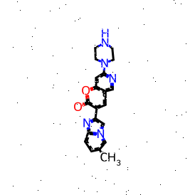 Cc1ccc2nc(-c3cc4cnc(N5CCNCC5)cc4oc3=O)cn2c1